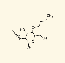 CCCCO[C@@H]1C(CO)O[C@@H](O)[C@@H](N=[N+]=[N-])C1O